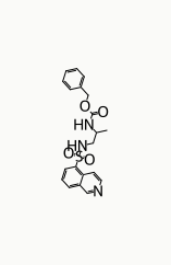 CC(CNS(=O)(=O)c1cccc2cnccc12)NC(=O)OCc1ccccc1